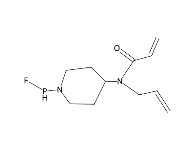 C=CCN(C(=O)C=C)C1CCN(PF)CC1